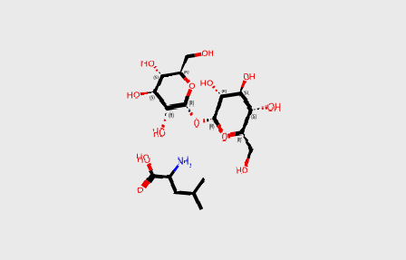 CC(C)CC(N)C(=O)O.OC[C@H]1O[C@H](O[C@H]2O[C@H](CO)[C@@H](O)[C@H](O)[C@H]2O)[C@H](O)[C@@H](O)[C@@H]1O